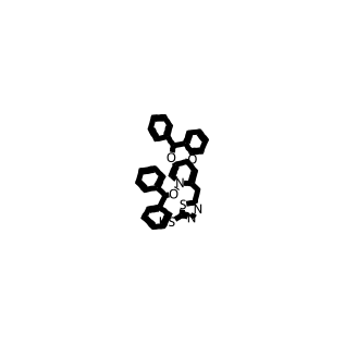 O=c1cc(Cc2nnc(S)s2)n(OC(c2ccccc2)c2ccccc2)cc1OC(c1ccccc1)c1ccccc1